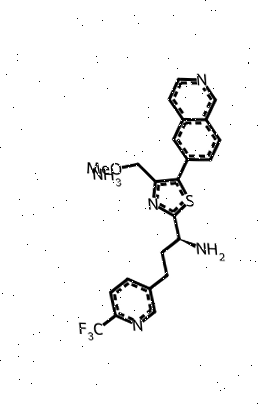 COCc1nc([C@@H](N)CCc2ccc(C(F)(F)F)nc2)sc1-c1ccc2cnccc2c1.N